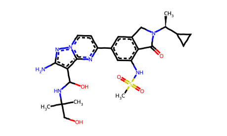 C[C@@H](C1CC1)N1Cc2cc(-c3ccn4nc(N)c(C(O)NC(C)(C)CO)c4n3)cc(NS(C)(=O)=O)c2C1=O